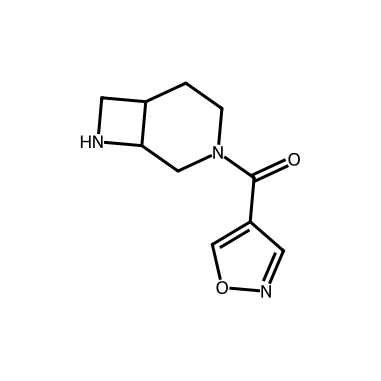 O=C(c1cnoc1)N1CCC2CNC2C1